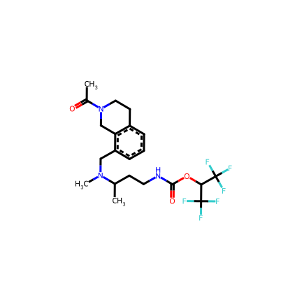 CC(=O)N1CCc2cccc(CN(C)C(C)CCNC(=O)OC(C(F)(F)F)C(F)(F)F)c2C1